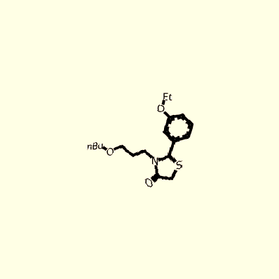 CCCCOCCCN1C(=O)CSC1c1cccc(OCC)c1